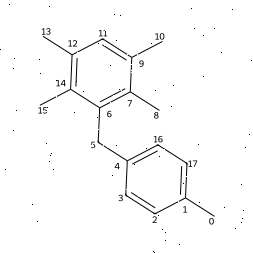 Cc1ccc(Cc2c(C)c(C)cc(C)c2C)cc1